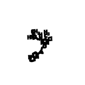 Cc1c(Cl)nc(OCC2CC2c2ccc3ncccc3n2)nc1NCC1=CNN(C)C1